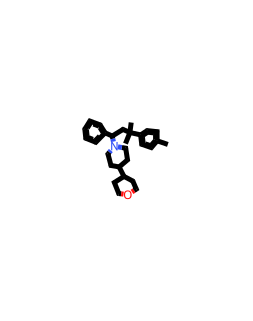 Cc1ccc(C(C)(C)CC(c2ccccc2)N2CCC(C3CCOCC3)CC2)cc1